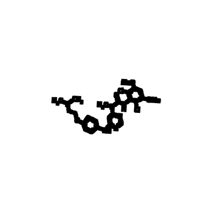 COc1cc(OC)c(Cl)c(NC(=O)N(C)c2cc(Nc3ccc(OCCN(C)C)cc3)ncn2)c1Cl